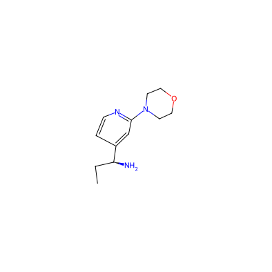 CC[C@H](N)c1ccnc(N2CCOCC2)c1